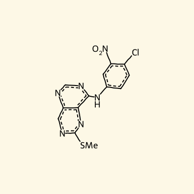 CSc1ncc2ncnc(Nc3ccc(Cl)c([N+](=O)[O-])c3)c2n1